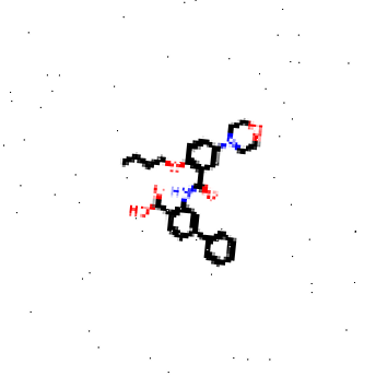 CCCCOc1ccc(N2CCOCC2)cc1C(=O)Nc1cc(-c2ccccc2)ccc1C(=O)O